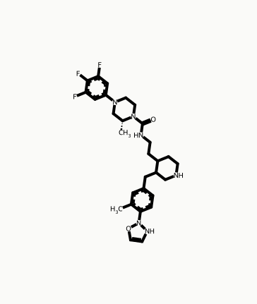 Cc1cc(CC2CNCCC2CCNC(=O)N2CCN(c3cc(F)c(F)c(F)c3)C[C@H]2C)ccc1N1NC=CO1